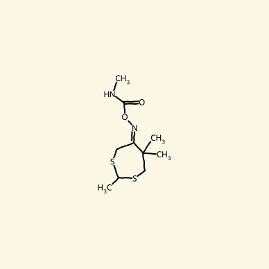 CNC(=O)ON=C1CSC(C)SCC1(C)C